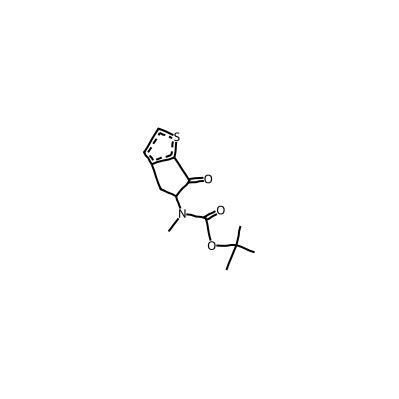 CN(C(=O)OC(C)(C)C)C1Cc2ccsc2C1=O